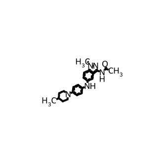 CC(=O)Nc1nn(C)c2ccc(Nc3ccc(N4CCC(C)CC4)cc3)cc12